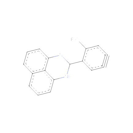 FC(F)(F)c1cc#ccc1C1Nc2cccc3cccc(c23)N1